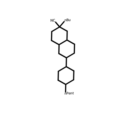 CCCCCC1CCC(C2CCC3CC(C#N)(CCCC)CCC3C2)CC1